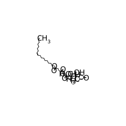 CCCCCCC/C=C\CCCCCCCCOC(=O)CCC(=O)OCC(=O)[C@@]1(O)CC[C@H]2[C@@H]3CCC4=CC(=O)C=C[C@]4(C)[C@H]3[C@@H](O)C[C@@]21C